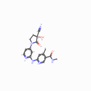 CNC(=O)c1cnc(Nc2cc(N3CC[C@](O)(C#N)C3=O)ccn2)cc1C